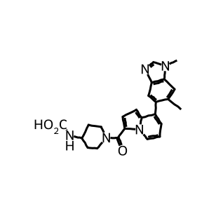 Cc1cc2c(cc1-c1cccn3c(C(=O)N4CCC(NC(=O)O)CC4)ccc13)ncn2C